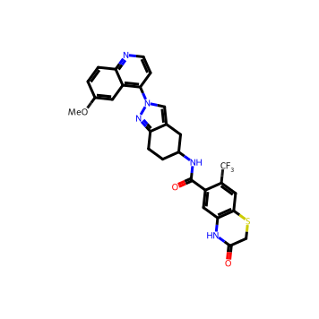 COc1ccc2nccc(-n3cc4c(n3)CCC(NC(=O)c3cc5c(cc3C(F)(F)F)SCC(=O)N5)C4)c2c1